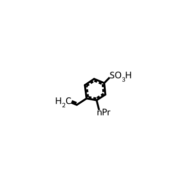 C=Cc1ccc(S(=O)(=O)O)cc1CCC